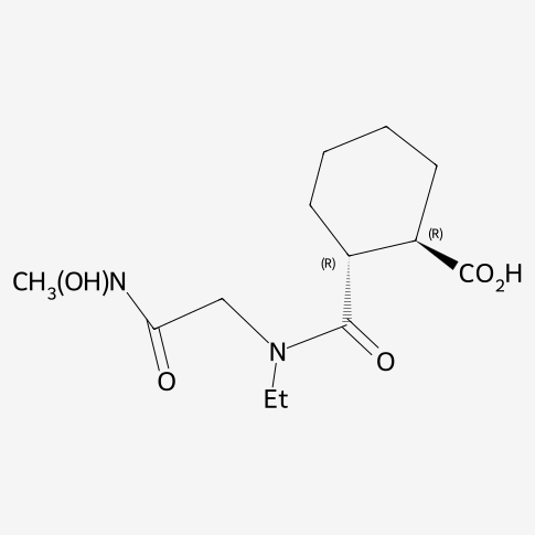 CCN(CC(=O)N(C)O)C(=O)[C@@H]1CCCC[C@H]1C(=O)O